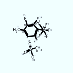 CCC[I+](F)(F)(F)(F)c1c(F)cc(C)c(F)c1F.CS(=O)(=O)[O-]